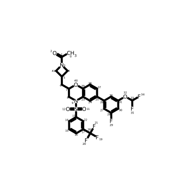 CC(=O)N1CC(CC2CN(S(=O)(=O)c3cccc(C(F)(F)F)c3)c3cc(-c4cc(F)cc(OC(F)F)c4)ccc3O2)C1